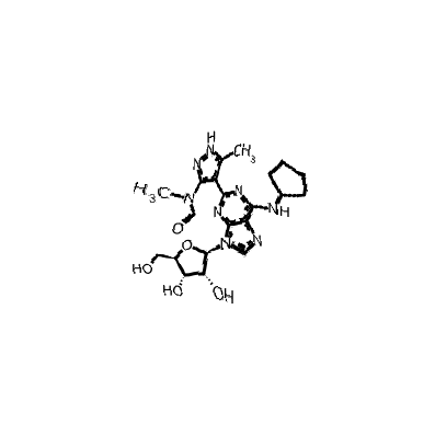 Cc1[nH]nc(N(C)C=O)c1-c1nc(NC2CCCC2)c2ncn([C@@H]3O[C@H](CO)[C@@H](O)[C@H]3O)c2n1